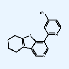 CC(C)(C)c1ccnc(-c2cncc3c4c(sc23)CCCC4)c1